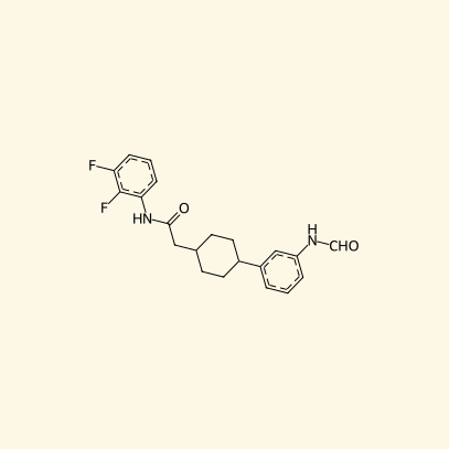 O=CNc1cccc(C2CCC(CC(=O)Nc3cccc(F)c3F)CC2)c1